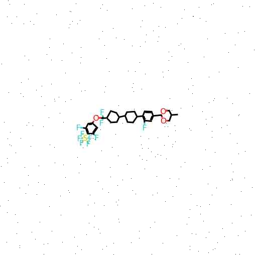 CC1COC(c2ccc(C3CCC(C4CCC(C(F)(F)Oc5cc(F)c(S(F)(F)(F)(F)F)c(F)c5)CC4)CC3)c(F)c2)OC1